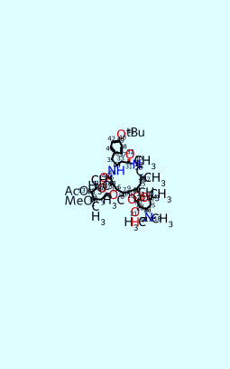 CO[C@]1(C)C[C@H](O[C@H]2[C@H](C)[C@@H](O[C@@H]3O[C@H](C)C[C@H](N(C)C)[C@H]3O)[C@](C)(O)C[C@@H](C)CN(C)C(=O)C[C@H](Cc3ccc(OC(C)(C)C)cc3)NC(=O)[C@@H]2C)O[C@@H](C)[C@@H]1OC(C)=O